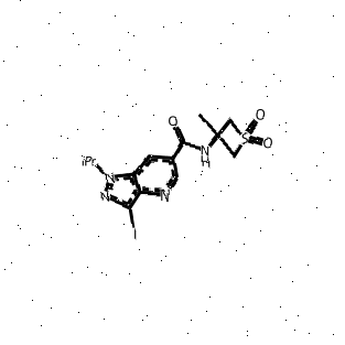 CC(C)n1nc(I)c2ncc(C(=O)NC3(C)CS(=O)(=O)C3)cc21